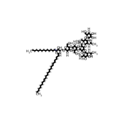 CCCCCCCCCCCCC/C=C/[C@@H](O)[C@H](CO[C@@H]1OC(CO)[C@@H](O[C@@H]2OC(CO)[C@H](O[C@@H]3OC(CO)[C@H](O[C@@H]4OC(CO)[C@H](O)[C@H](O[C@@H]5OC(CO)[C@H](O)[C@H](O)C5O)C4NC(C)=O)[C@H](O[C@@H]4OC(CO)[C@H](O)[C@H](O)C4NC(C)=O)C3O)[C@H](O)C2O)[C@H](O)C1O)NC(=O)CCCCCCCCCCCCCCCCCCCCCCCCC